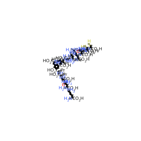 CC(C)C[C@H](N)C(=O)O.CC(C)[C@H](N)C(=O)O.CC(C)[C@H](N)C(=O)O.CC(C)[C@H](N)C(=O)O.CSCC[C@H](N)C(=O)O.C[C@H](N)C(=O)O.N=C(N)NCCC[C@H](N)C(=O)O.NC(=O)C[C@H](N)C(=O)O.NC(=O)C[C@H](N)C(=O)O.NCC(=O)O.NCCCC[C@H](N)C(=O)O.N[C@@H](CS)C(=O)O.N[C@@H](CS)C(=O)O.N[C@@H](Cc1ccccc1)C(=O)O.O=C(O)[C@@H]1CCCN1